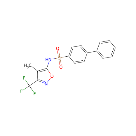 Cc1c(C(F)(F)F)noc1NS(=O)(=O)c1ccc(-c2ccccc2)cc1